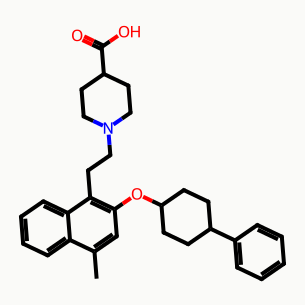 Cc1cc(OC2CCC(c3ccccc3)CC2)c(CCN2CCC(C(=O)O)CC2)c2ccccc12